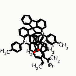 C=CC(/C=C\Cc1cccc(N(c2ccc(C)cc2)c2cccc3c2-c2ccccc2C32c3ccccc3-c3cccc(N(c4ccc(C)cc4)c4cccc5c4C(C)(C)c4cc(C=C)ccc4-5)c32)c1C)=C/C(=C)C(C)C